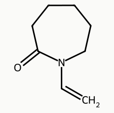 C=CN1CCCCCC1=O